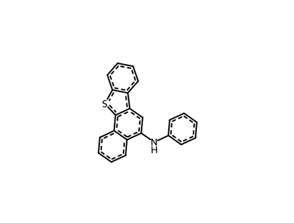 c1ccc(Nc2cc3c4ccccc4sc3c3ccccc23)cc1